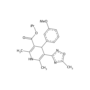 COc1cccc(C2C(C(=O)OC(C)C)=C(C)NC(C)=C2c2noc(C)n2)c1